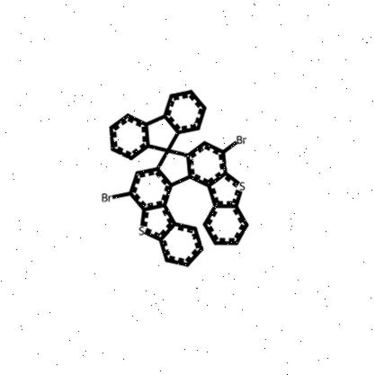 Brc1cc2c(c3c1sc1ccccc13)-c1c(cc(Br)c3sc4ccccc4c13)C21c2ccccc2-c2ccccc21